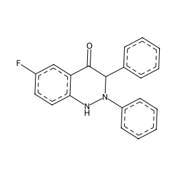 O=C1c2cc(F)ccc2NN(c2ccccc2)C1c1ccccc1